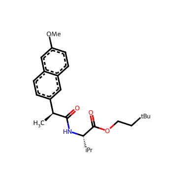 COc1ccc2cc([C@H](C)C(=O)N[C@H](C(=O)OCCC(C)(C)C)C(C)C)ccc2c1